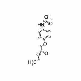 CCOC(=O)COc1ccc(NC(C)=O)cc1